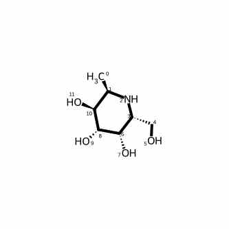 C[C@H]1N[C@H](CO)[C@H](O)[C@H](O)[C@H]1O